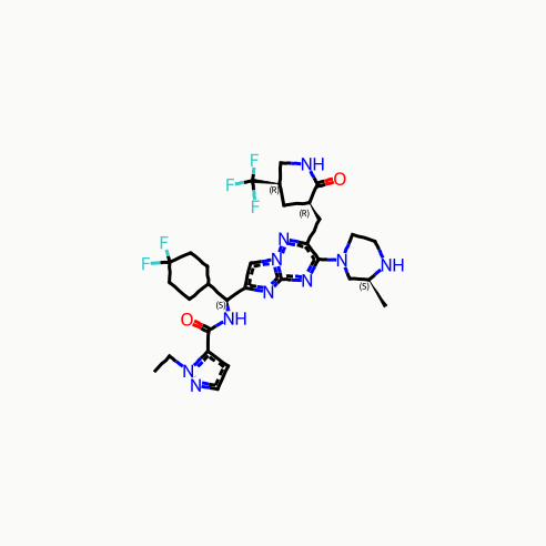 CCn1nccc1C(=O)N[C@H](c1cn2nc(C[C@H]3C[C@@H](C(F)(F)F)CNC3=O)c(N3CCN[C@@H](C)C3)nc2n1)C1CCC(F)(F)CC1